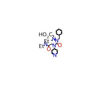 CCN(CC)C(=O)CN(C(=O)N(Cc1ccccc1)N(C)CC(=O)O)c1ccncc1